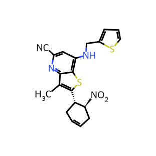 Cc1c([C@H]2CC=CC[C@@H]2[N+](=O)[O-])sc2c(NCc3cccs3)cc(C#N)nc12